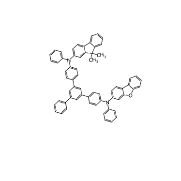 CC1(C)c2ccccc2-c2ccc(N(c3ccccc3)c3ccc(-c4cc(-c5ccccc5)cc(-c5ccc(N(c6ccccc6)c6ccc7c(c6)oc6ccccc67)cc5)c4)cc3)cc21